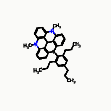 CCCc1cc(CCC)c(B2c3cccc4c3C3c5c2cccc5N(C)c2cccc(c23)N4C)c(CCC)c1